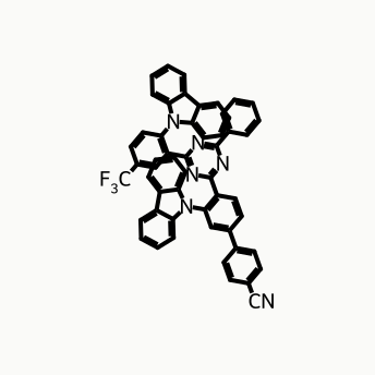 N#Cc1ccc(-c2ccc(-c3nc(-c4ccccc4)nc(-c4cc(C(F)(F)F)ccc4-n4c5ccccc5c5ccccc54)n3)c(-n3c4ccccc4c4ccccc43)c2)cc1